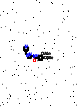 COc1ccc(C(=O)Nc2ccn(Cc3ccncc3)n2)cc1OC